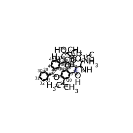 CCNC(O)C(=N)/C(BOC(C)(C)C(C)(C)O)=C(\O)c1cc(C(C)C)c(OCc2ccccc2)cc1OCc1ccccc1